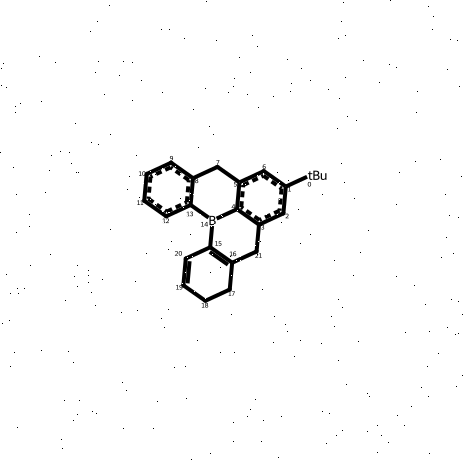 CC(C)(C)c1cc2c3c(c1)Cc1ccccc1B3C1=C(CCC=C1)C2